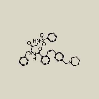 O=C(N[C@@H](Cc1ccccc1)C(=O)CNS(=O)(=O)c1ccccc1)c1ccccc1C=Cc1ccc(CN2CCCCC2)cc1